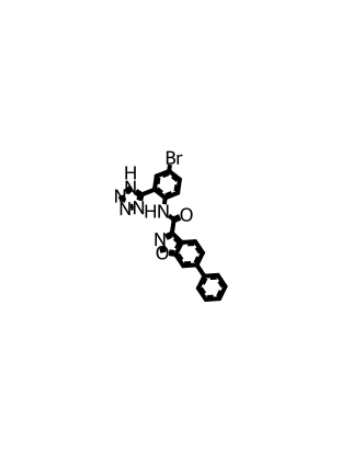 O=C(Nc1ccc(Br)cc1-c1nnn[nH]1)c1noc2cc(-c3ccccc3)ccc12